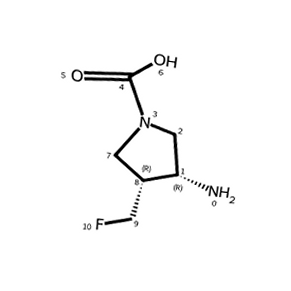 N[C@H]1CN(C(=O)O)C[C@H]1CF